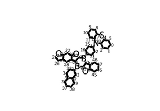 c1ccc2c(c1)Sc1ccccc1N2c1ccc(B2c3oc4cc5occc5cc4c3B(c3ccc4ccccc4c3)c3oc4ccccc4c32)cc1